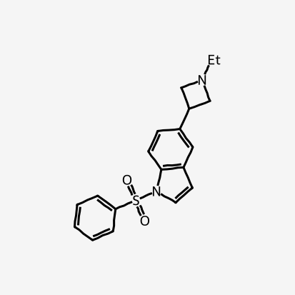 CCN1CC(c2ccc3c(ccn3S(=O)(=O)c3ccccc3)c2)C1